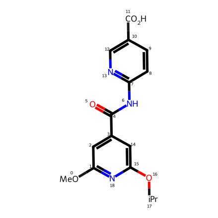 COc1cc(C(=O)Nc2ccc(C(=O)O)cn2)cc(OC(C)C)n1